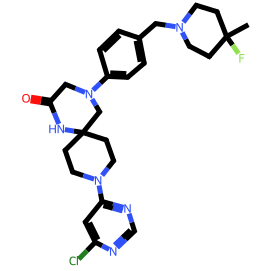 CC1(F)CCN(Cc2ccc(N3CC(=O)NC4(CCN(c5cc(Cl)ncn5)CC4)C3)cc2)CC1